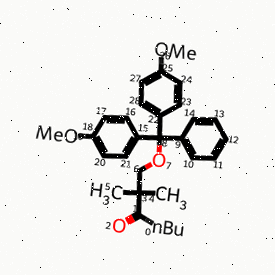 CCCCC(=O)C(C)(C)COC(c1ccccc1)(c1ccc(OC)cc1)c1ccc(OC)cc1